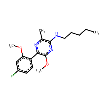 CCCCCNc1nc(OC)c(-c2ccc(F)cc2OC)nc1C